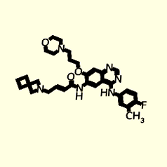 Cc1cc(Nc2ncnc3cc(OCCCN4CCOCC4)c(NC(=O)/C=C/CN4CC5(CCC5)C4)cc23)ccc1F